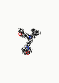 c1ccc(N(c2ccc(-c3ccc4c(c3)c3cc(-c5ccc6oc7ccccc7c6c5)ccc3n4-c3ccc4c5ccccc5c5ccccc5c4c3)cc2)c2cccc3oc4ccccc4c23)cc1